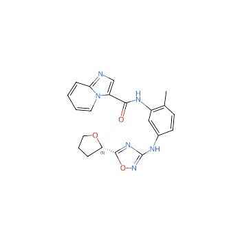 Cc1ccc(Nc2noc([C@@H]3CCCO3)n2)cc1NC(=O)c1cnc2ccccn12